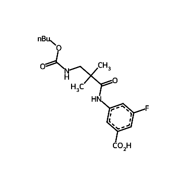 CCCCOC(=O)NCC(C)(C)C(=O)Nc1cc(F)cc(C(=O)O)c1